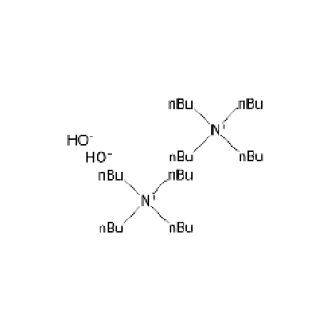 CCCC[N+](CCCC)(CCCC)CCCC.CCCC[N+](CCCC)(CCCC)CCCC.[OH-].[OH-]